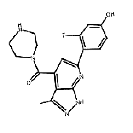 Cc1n[nH]c2nc(-c3ccc(O)cc3F)cc(C(=O)N3CCNCC3)c12